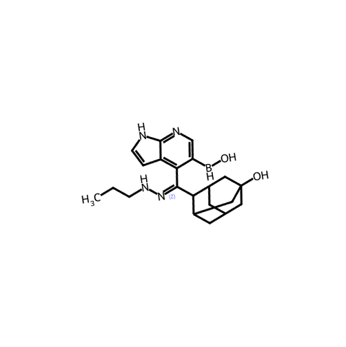 CCCN/N=C(\c1c(BO)cnc2[nH]ccc12)C1C2CC3CC1CC(O)(C3)C2